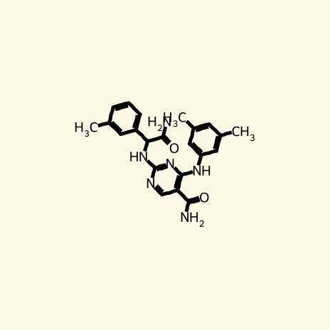 Cc1cc(C)cc(Nc2nc(NC(C(N)=O)c3cccc(C)c3)ncc2C(N)=O)c1